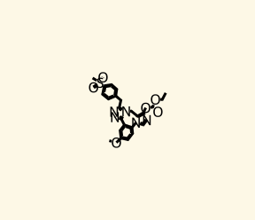 CCOC(=O)Oc1ncn2c1Cn1c(Cc3ccc(S(C)(=O)=O)cc3)nnc1-c1cc(OC)ccc1-2